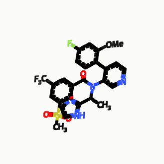 COc1cc(F)ccc1-c1ccncc1N(C(=O)c1cc(C(F)(F)F)cc(S(C)(=O)=O)c1)C(C)c1ncc[nH]1